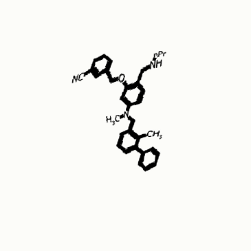 CCCNCc1ccc(N(C)Cc2cccc(-c3ccccc3)c2C)cc1OCc1cccc(C#N)c1